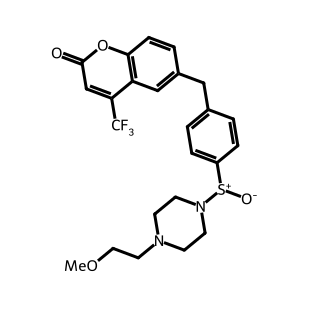 COCCN1CCN([S+]([O-])c2ccc(Cc3ccc4oc(=O)cc(C(F)(F)F)c4c3)cc2)CC1